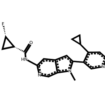 Cn1c(-c2cnccc2C2CC2)cc2cc(NC(=O)[C@@H]3C[C@@H]3F)ncc21